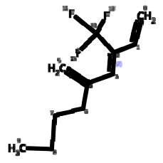 C=C/C(=C/C(=C)CCCC)C(F)(F)F